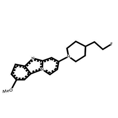 COc1ccc2nc3cc(N4CCC(CCF)CC4)ccn3c2c1